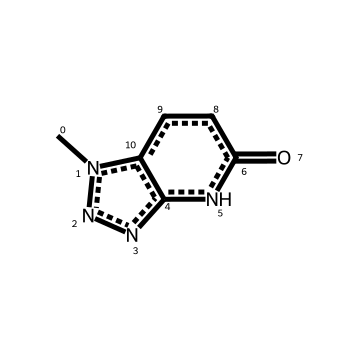 Cn1nnc2[nH]c(=O)ccc21